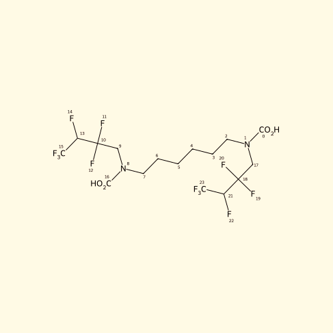 O=C(O)N(CCCCCCN(CC(F)(F)C(F)C(F)(F)F)C(=O)O)CC(F)(F)C(F)C(F)(F)F